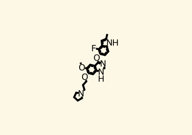 COc1cc2c(cc1OCCCN1CCCC1)NCN=C2Oc1ccc2[nH]c(C)cc2c1F